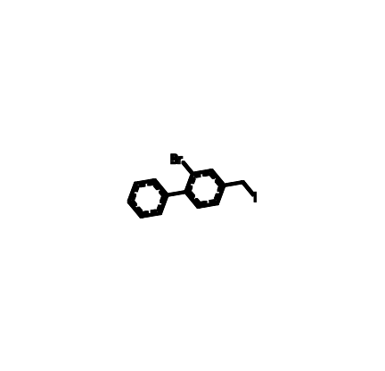 Brc1cc(CI)ccc1-c1ccccc1